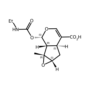 CCNC(=O)O[C@@H]1OC=C(C(=O)O)[C@H]2C[C@@H]3O[C@]3(C)[C@H]12